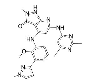 COc1c(Nc2cc(Nc3cc(C)nc(C)n3)nc3[nH]n(C)c(=O)c23)cccc1-c1ccn(C)n1